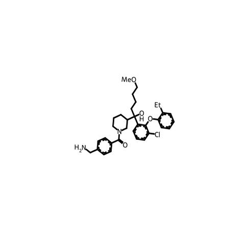 CCc1ccccc1Oc1c(Cl)cccc1C(O)(CCCCOC)C1CCCN(C(=O)c2ccc(CN)cc2)C1